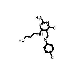 Nc1nc(Cl)c(N=Nc2ccc(Cl)cc2)c(NCCCO)n1